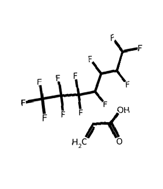 C=CC(=O)O.FC(F)C(F)C(F)C(F)C(F)(F)C(F)(F)C(F)(F)F